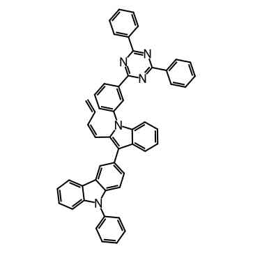 C=C/C=C\c1c(-c2ccc3c(c2)c2ccccc2n3-c2ccccc2)c2ccccc2n1-c1cccc(-c2nc(-c3ccccc3)nc(-c3ccccc3)n2)c1